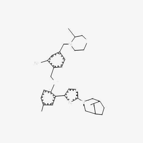 Cc1ccc(OCc2ccc(CN3CCOCC3C)cc2C#N)c(-c2csc(N3CC4CCC(C3)C4C=O)n2)c1